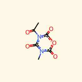 CC(=O)n1c(=O)oc(=O)n(C)c1=O